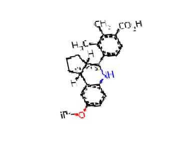 Cc1c(C(=O)O)ccc([C@H]2Nc3ccc(OC(C)C)cc3[C@@H]3CCC[C@H]23)c1C